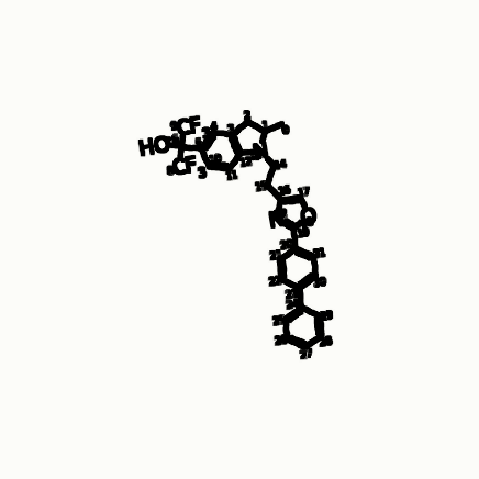 CC1Cc2cc(C(O)(C(F)(F)F)C(F)(F)F)ccc2N1CCc1coc(-c2ccc(-c3ccccc3)cc2)n1